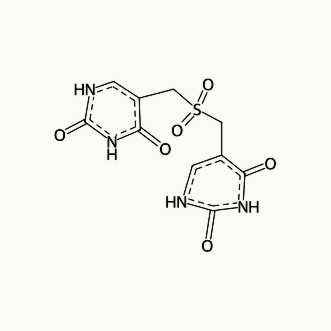 O=c1[nH]cc(CS(=O)(=O)Cc2c[nH]c(=O)[nH]c2=O)c(=O)[nH]1